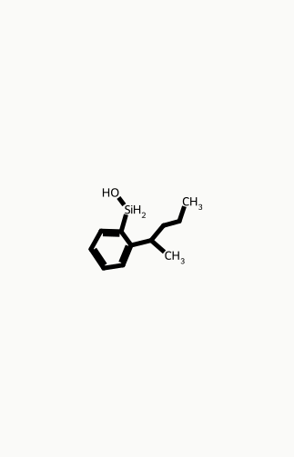 CCCC(C)c1ccccc1[SiH2]O